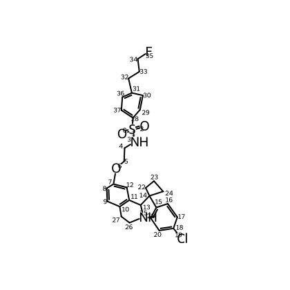 O=S(=O)(NCCOc1ccc2c(c1)C(C1(c3ccc(Cl)cc3)CCC1)NCC2)c1ccc(CCCF)cc1